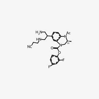 CC(=O)N1c2ccc(C(CN)CNCCC#N)cc2N(C(=O)Oc2ccc(F)cc2F)C[C@@H]1C